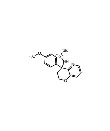 CC(C)(C)[S+]([O-])NC1(c2ccc(OC(F)(F)F)cc2)CCOc2cccnc21